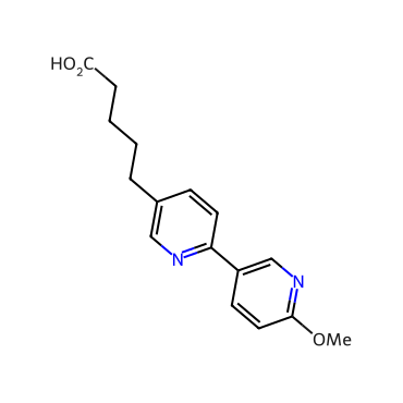 COc1ccc(-c2ccc(CCCCC(=O)O)cn2)cn1